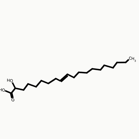 CCCCCCCCCCC=CCCCCCCC(O)C(=O)O